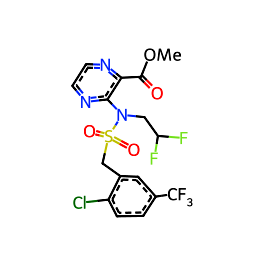 COC(=O)c1nccnc1N(CC(F)F)S(=O)(=O)Cc1cc(C(F)(F)F)ccc1Cl